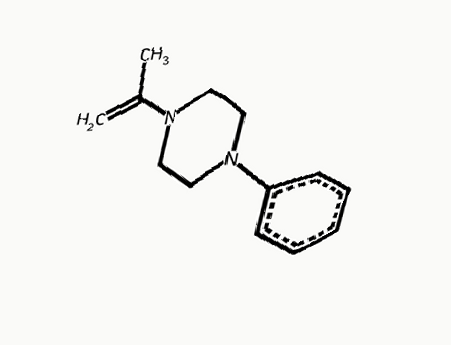 C=C(C)N1CCN(c2ccccc2)CC1